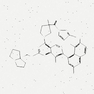 CCc1c(F)ccc2cc(O)cc(-c3ncc4c(N5CCC(C)(C(=O)n6ccc(C)n6)C5)nc(OC[C@@]56CCCN5C[C@H](F)C6)nc4c3F)c12